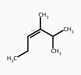 CC/C=C(/C)C(C)C